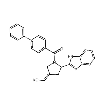 N#CC=C1CC(c2nc3ccccc3[nH]2)N(C(=O)c2ccc(-c3ccccc3)cc2)C1